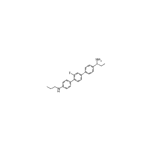 CCCNc1ccc(-c2ccc(-c3ccc(C(N)CC)cc3)cc2F)cc1